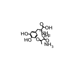 CC(=O)C(=O)O.N.N[C@@H](Cc1ccc(O)c(O)c1)C(=O)O